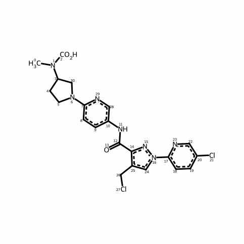 CN(C(=O)O)C1CCN(c2ccc(NC(=O)c3nn(-c4ccc(Cl)cn4)cc3CCl)cn2)C1